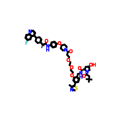 Cc1ncsc1-c1ccc(CNC(=O)[C@@H]2C[C@@H](O)CN2C(=O)CC(C)(C)C)c(OCCOCCOCCC(=O)N2CCC(Oc3ccc(NC(=O)[C@H](C)C4=CCC(c5ccnc6ccc(F)cc56)CC4)cc3)CC2)c1